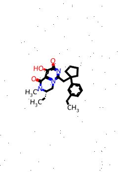 CCc1cccc(C2(Cc3nc(=O)c(O)c4n3C[C@H](CC)N(C)C4=O)CCCC2)c1